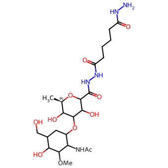 COC1C(O)C(CO)CC(OC2C(O)C(C(=O)NNC(=O)CCCCC(=O)NN)O[C@H](C)C2O)C1NC(C)=O